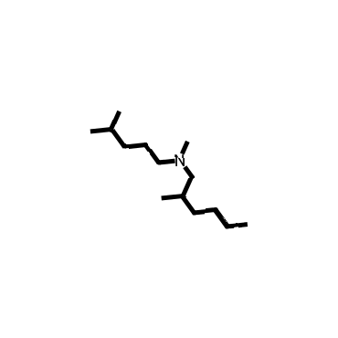 CCCCC(C)CN(C)CCCC(C)C